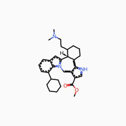 COC(=O)c1c[nH]c2c1=Cn1c(cc3cccc(C4CCCCC4)c31)[C@H]1C=2CCCC1CCN(C)C